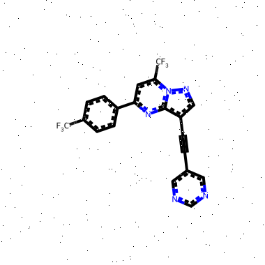 FC(F)(F)c1ccc(-c2cc(C(F)(F)F)n3ncc(C#Cc4cncnc4)c3n2)cc1